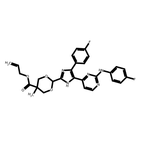 C=CCOC(=O)C1(C)COC(c2nc(-c3ccc(F)cc3)c(-c3ccnc(Nc4ccc(F)cc4)n3)[nH]2)OC1